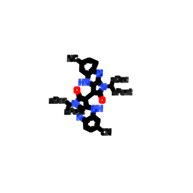 CCCCCCCCCCC(CCCCC)n1c2nc3ccc(C#N)cc3[nH]c-2c(-c2c3[nH]c4cc(C#N)ccc4nc-3n(C(CCCCC)CCCCCCCCCC)c2=O)c1=O